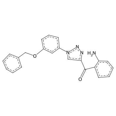 Nc1ccccc1C(=O)c1cn(-c2cccc(OCc3ccccc3)c2)nn1